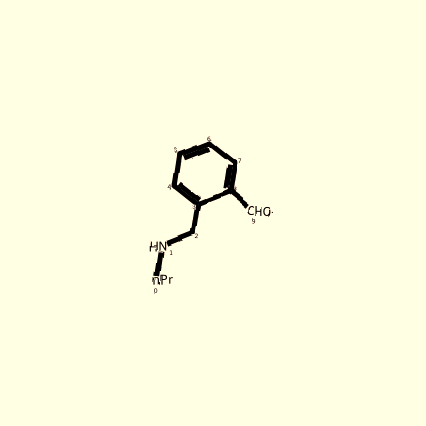 CCCNCc1ccccc1[C]=O